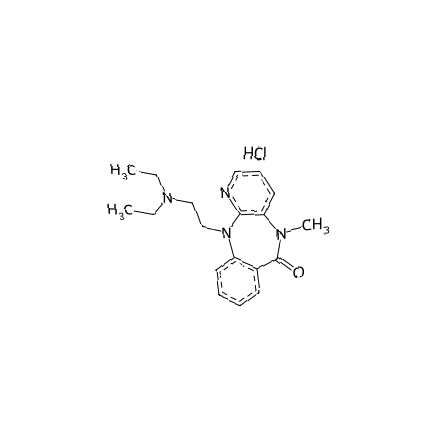 CCN(CC)CCN1c2ccccc2C(=O)N(C)c2cccnc21.Cl